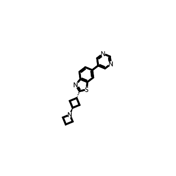 c1ncc(-c2ccc3nc([C@H]4C[C@H](N5CCC5)C4)sc3c2)cn1